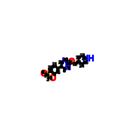 [O-][S@+]1COc2cc(-c3cnc(OCC4CCNCC4)nc3)ccc21